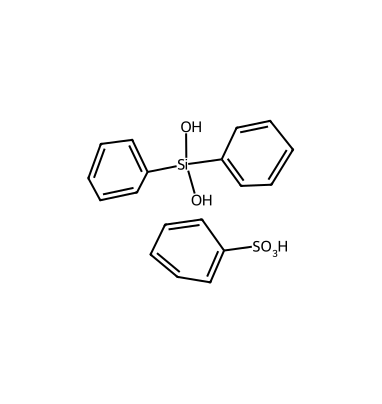 O=S(=O)(O)c1ccccc1.O[Si](O)(c1ccccc1)c1ccccc1